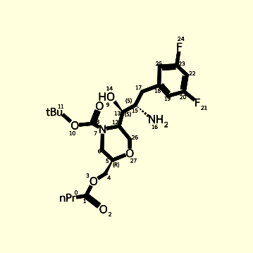 CCCC(=O)OC[C@H]1CN(C(=O)OC(C)(C)C)C([C@@H](O)[C@@H](N)Cc2cc(F)cc(F)c2)CO1